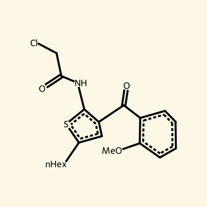 CCCCCCc1cc(C(=O)c2ccccc2OC)c(NC(=O)CCl)s1